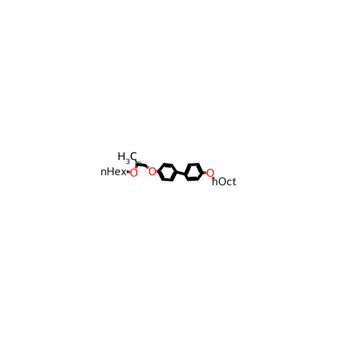 CCCCCCCCOc1ccc(-c2ccc(OC[C@@H](C)OCCCCCC)cc2)cc1